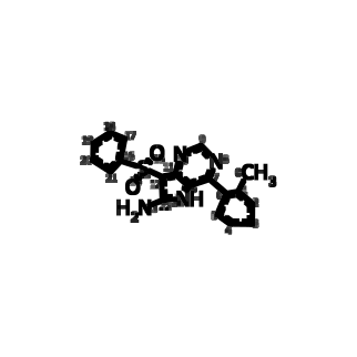 Cc1ccccc1-c1ncnc2c(S(=O)(=O)c3ccccc3)c(N)[nH]c12